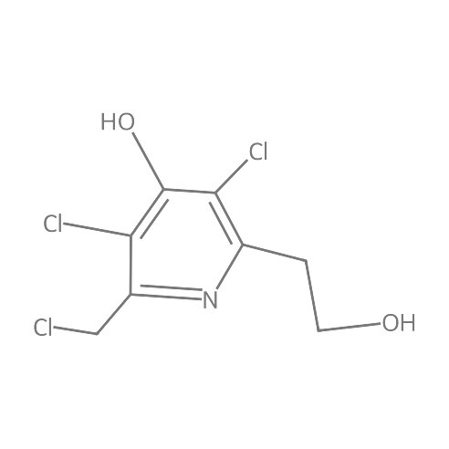 OCCc1nc(CCl)c(Cl)c(O)c1Cl